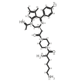 CC(=N)N1C[C@H](CC(=O)N2CCN(C(=O)C(N)CCCCN)CC2)N=C(c2ccc(Cl)cc2)c2c1sc(C)c2C